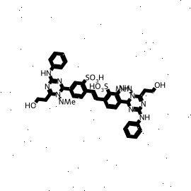 CNN1C(CCO)=NC(Nc2ccccc2)=NC1c1ccc(C=Cc2ccc(C3N=C(Nc4ccccc4)N=C(CCO)N3NC)c(N)c2S(=O)(=O)O)c(S(=O)(=O)O)c1